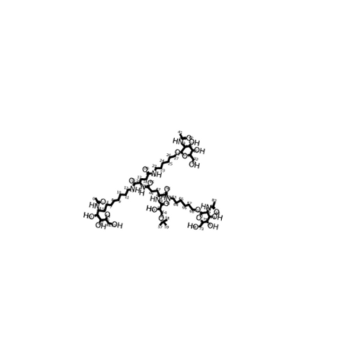 CC(=O)NC1C(CCCCCCCNC(=O)C(CCC(=O)NCCCCCCOC2OC(CO)C(O)C(O)C2NC(C)=O)NC(=O)CCC(NC(=O)C(O)COC(C)(C)C)C(=O)NCCCCCCOC2OC(CO)C(O)C(O)C2NC(C)=O)OC(CO)C(O)C1O